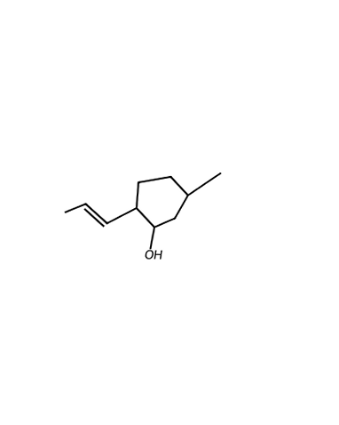 CC=CC1CCC(C)CC1O